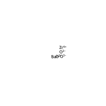 [Ba+2].[O-2].[O-2].[O-2].[Zr+4]